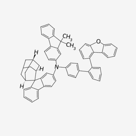 CC1(C)c2ccccc2-c2ccc(N(c3ccc(-c4ccccc4-c4cccc5oc6ccccc6c45)cc3)c3ccc4c(c3)C3(c5ccccc5-4)[C@H]4CC5C[C@H](C4)C[C@@H]3C5)cc21